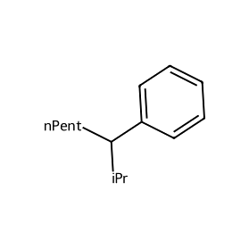 CCCCCC(c1ccccc1)C(C)C